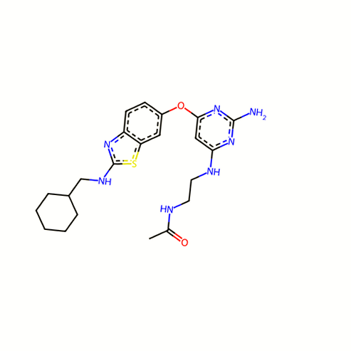 CC(=O)NCCNc1cc(Oc2ccc3nc(NCC4CCCCC4)sc3c2)nc(N)n1